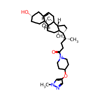 C[C@H](CCC(=O)N1CCC(Oc2cnn(C)c2)CC1)[C@H]1CC[C@@H]2[C@]1(C)CC[C@H]1[C@@]2(C)CC=C2C[C@@H](O)CC[C@@]21C